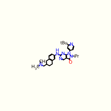 CC(C)n1c(=O)c2cnc(Nc3ccc4c(c3)CCC(CN(C)C)C4)nc2n1-c1ccnc(C(C)(C)C)c1